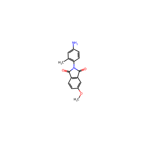 COc1ccc2c(c1)C(=O)N(c1ccc(N)cc1C)C2=O